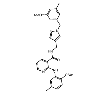 COc1cc(C)cc(Cn2cc(CNC(=O)c3cccnc3Nc3cc(C)ccc3OC)nn2)c1